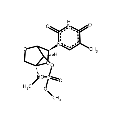 CC[C@]12COC([C@H]1OP(=O)(O)OC)[C@@H](n1cc(C)c(=O)[nH]c1=O)O2